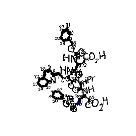 CC(C)[C@H](NC(=O)[C@H](CCc1ccc2ccccc2n1)NC(=O)[C@H](CC(=O)O)NC(=O)OCc1ccccc1)C(=O)N[C@H](/C=C/S(=O)(=O)Oc1ccccc1)CC(=O)O